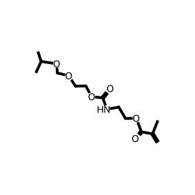 C=C(C)C(=O)OCCNC(=O)OCCOCOC(C)C